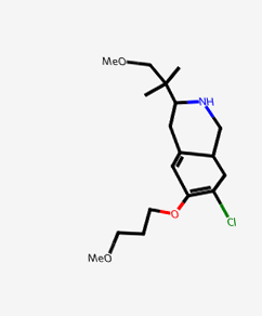 COCCCOC1=C(Cl)CC2CNC(C(C)(C)COC)CC2=C1